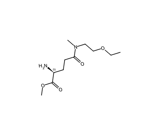 CCOCCN(C)C(=O)CC[C@H](N)C(=O)OC